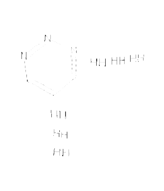 [HH].[HH].[HH].[HH].[HH].[HH].c1cnnnc1